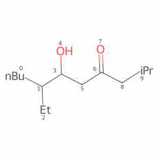 CCCCC(CC)C(O)CC(=O)CC(C)C